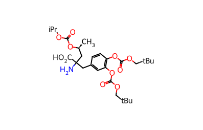 CC(C)OC(=O)O[C@@H](C)CC(N)(Cc1ccc(OC(=O)OCC(C)(C)C)c(OC(=O)OCC(C)(C)C)c1)C(=O)O